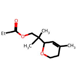 CCC(=O)OCC(C)(C)C1C=C(C)CCO1